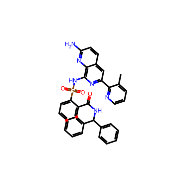 Cc1cccnc1-c1cc2ccc(N)nc2c(NS(=O)(=O)c2ccccc2C(=O)NC(c2ccccc2)c2ccccc2)n1